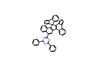 c1ccc(-c2nc(-c3ccccc3)nc(-c3cc4c(c5ccccc35)C3(c5ccccc5-c5ccccc53)c3c-4c4ccccc4c4ccccc34)n2)cc1